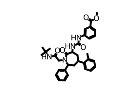 COC(=O)c1cccc(NC(=O)NC2CC(c3ccccc3C)CC(c3ccccc3)N(CC(=O)NC(C)(C)C)C2=O)c1